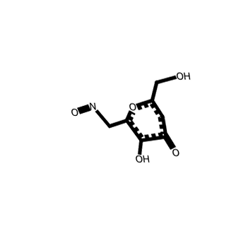 O=NCc1oc(CO)cc(=O)c1O